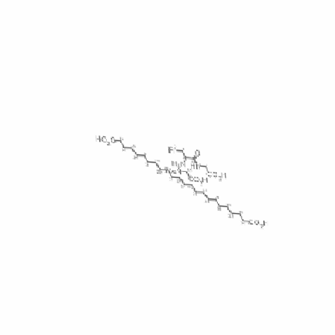 CC(C)C[C@H](N)C(=O)NCC(=O)O.CNCC(=O)O.O=C(O)CCCCCCCCCCCCCCCCCCCCCCC(=O)O